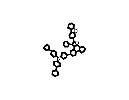 c1ccc(-c2ccc(N(c3ccc(-c4ccccc4)cc3)c3ccc(-c4ccc5c6ccccc6c6oc(-c7ccc8c(c7)oc7ccccc78)c(-c7ccccc7)c6c5c4)cc3)cc2)cc1